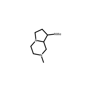 CNC1CCN2CCN(C)CC12